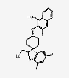 CC[C@H](N)[C@]1(c2cc(F)cc(F)c2)CC[C@H](Oc2c(F)cc3cnccc3c2C)CC1